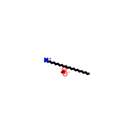 CC(=O)[O-].CCCCCCCCCCCCCCCCCCCCCC[N+](C)(C)C